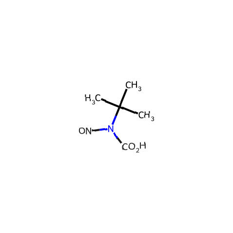 CC(C)(C)N(N=O)C(=O)O